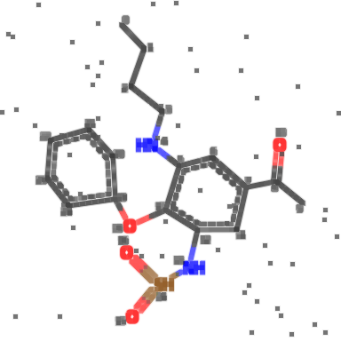 CCCCNc1cc(C(C)=O)cc(N[SH](=O)=O)c1Oc1ccccc1